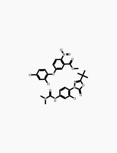 CN(C)C(=O)Nc1ccc(-n2nc(C(C)(C)C)oc2=O)c(Cl)c1.COC(=O)c1cc(Oc2ccc(Cl)cc2Cl)ccc1[N+](=O)[O-]